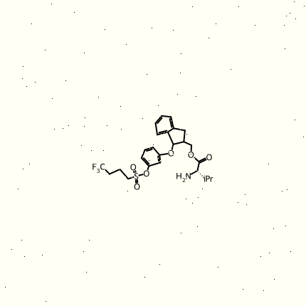 CC(C)[C@H](N)C(=O)OCC1Cc2ccccc2C1Oc1cccc(OS(=O)(=O)CCCC(F)(F)F)c1